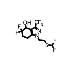 OC1c2c(C(F)(F)F)nn(CCSC(F)F)c2CCC1(F)F